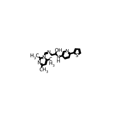 CC1=CC(C)=NC(C)N1/C=N\CC(O)Nc1ccc(-c2cccs2)nc1